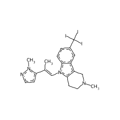 C/C(=C\n1c2c(c3cc(C(I)(I)I)ccc31)CN(C)CC2)c1ccnn1C